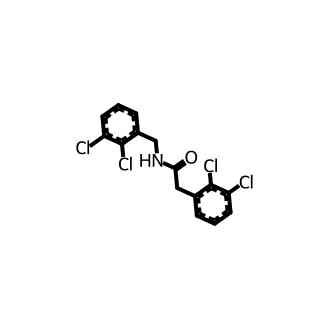 O=C(Cc1cccc(Cl)c1Cl)NCc1cccc(Cl)c1Cl